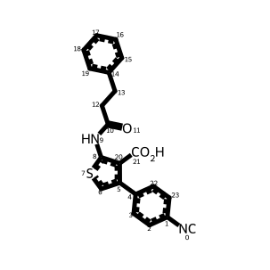 [C-]#[N+]c1ccc(-c2csc(NC(=O)CCc3ccccc3)c2C(=O)O)cc1